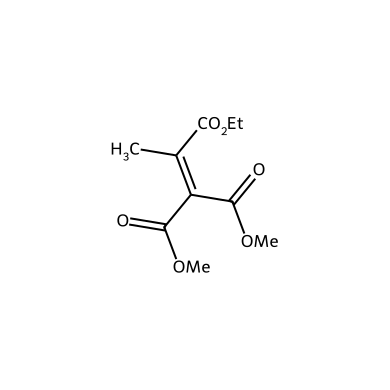 CCOC(=O)C(C)=C(C(=O)OC)C(=O)OC